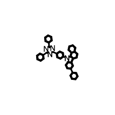 c1ccc(-c2ccc3c(c2)c2ccc4ccccc4c2n3-c2ccc(-c3nc(-c4ccccc4)nc(-c4ccccc4)n3)cc2)cc1